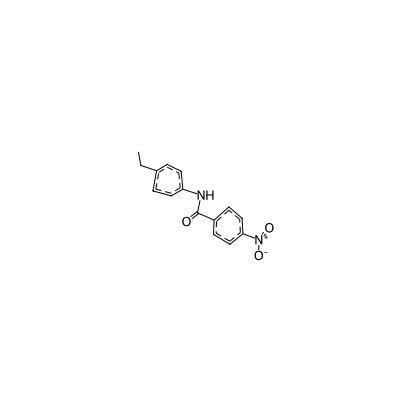 CCc1ccc(NC(=O)c2ccc([N+](=O)[O-])cc2)cc1